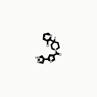 O=C(c1csc(-c2cn[nH]c2)c1)N1CCC(F)(c2ncccc2Cl)CC1